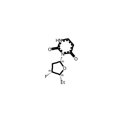 CC[C@H]1O[C@@H](n2c(=O)cc[nH]c2=O)C[C@H]1I